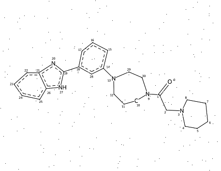 O=C(CN1CCCCC1)N1CCCN(c2cccc(-c3nc4ccccc4[nH]3)c2)CC1